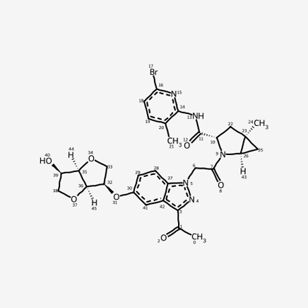 CC(=O)c1nn(CC(=O)N2[C@H](C(=O)Nc3nc(Br)ccc3C)C[C@@]3(C)C[C@@H]23)c2ccc(O[C@@H]3CO[C@H]4[C@@H]3OC[C@H]4O)cc12